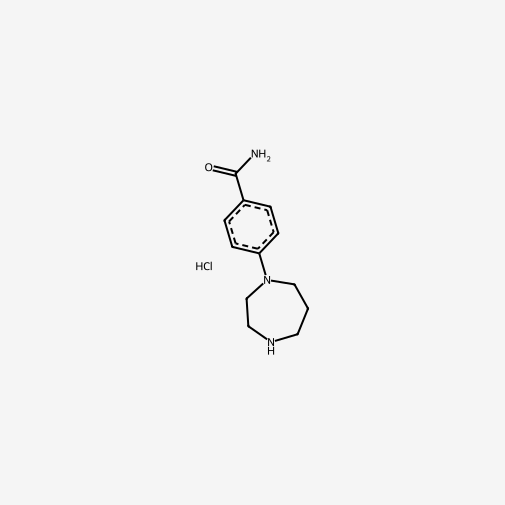 Cl.NC(=O)c1ccc(N2CCCNCC2)cc1